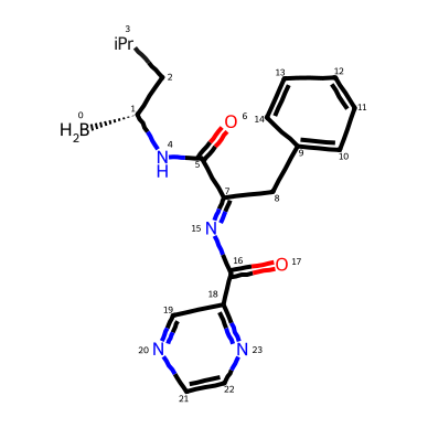 B[C@H](CC(C)C)NC(=O)/C(Cc1ccccc1)=N/C(=O)c1cnccn1